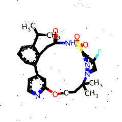 CC(C)c1cccc2c1CC(=O)NS(=O)(=O)c1nn(cc1F)C(C)(C)CCOc1cc-2ccn1